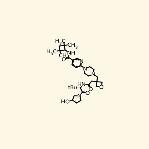 CC1(C)CC(C)(C)C1NC(=O)c1ccc(N2CCN(CC3(CC(=O)N[C@H](C(=O)N4CC[C@@H](O)C4)C(C)(C)C)COC3)CC2)nc1